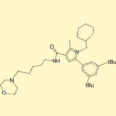 Cc1c(C(=O)NCCCCCN2CCOCC2)cc(-c2cc(C(C)(C)C)cc(C(C)(C)C)c2)n1CC1CCCCC1